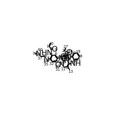 C=CC(=O)Nc1cc(Nc2ncc(C)c(Nc3ccccc3NS(=O)(=O)CC)n2)c(OC)cc1N(C)CCN(C)C